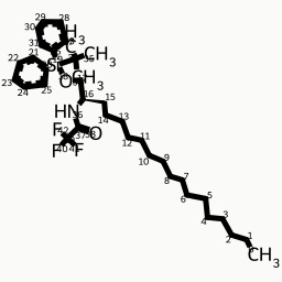 CCCCCCCCCCCCCCCC[C@H](CO[Si](c1ccccc1)(c1ccccc1)C(C)(C)C)NC(=O)C(F)(F)F